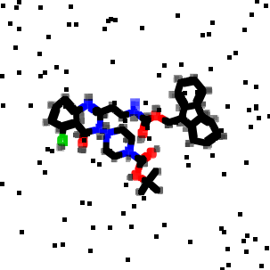 CC(C)(C)OC(=O)N1CCN(n2c(CCNC(=O)OCC3c4ccccc4-c4ccccc43)nc3cccc(Cl)c3c2=O)CC1